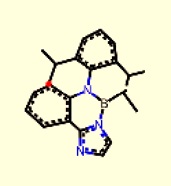 CC(C)B1N(c2c(C(C)C)cccc2C(C)C)c2ccccc2-c2nccn21